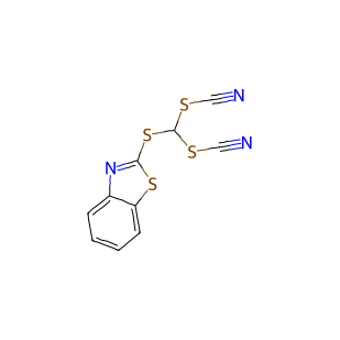 N#CSC(SC#N)Sc1nc2ccccc2s1